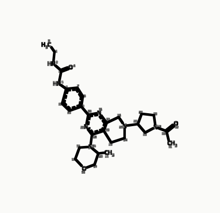 CCNC(=O)Nc1ccc(-c2nc3c(c(N4CCOCC4C)n2)CCN(C2CCN(C(C)=O)C2)C3)cc1